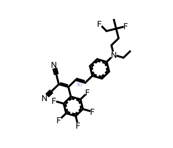 CCN(CCC(C)(F)CF)c1ccc(/C=C/C(=C(C#N)C#N)c2c(F)c(F)c(F)c(F)c2F)cc1